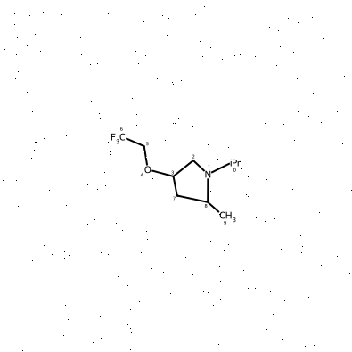 CC(C)N1CC(OCC(F)(F)F)CC1C